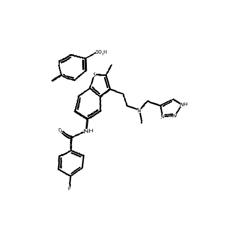 Cc1ccc(S(=O)(=O)O)cc1.Cc1sc2ccc(NC(=O)c3ccc(F)cc3)cc2c1CCN(C)Cc1c[nH]nn1